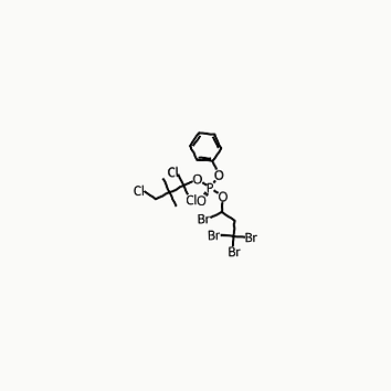 CC(C)(CCl)C(Cl)(Cl)OP(=O)(Oc1ccccc1)OC(Br)CC(Br)(Br)Br